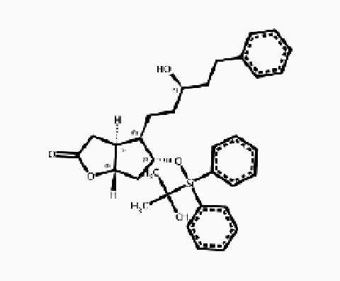 CC(C)(C)[Si](O[C@@H]1C[C@@H]2OC(=O)C[C@H]2[C@H]1CC[C@@H](O)CCc1ccccc1)(c1ccccc1)c1ccccc1